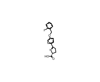 O=C(O)[C@@H]1CCC(c2ccc(OCc3ccccc3F)cn2)=N1